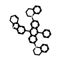 C1=Cc2c(sc3ccc(-c4c5ccc(N6CCCc7ccccc76)cc5c(-c5ccccc5)c5ccc(N6CCCc7ccccc76)cc45)cc23)CC1